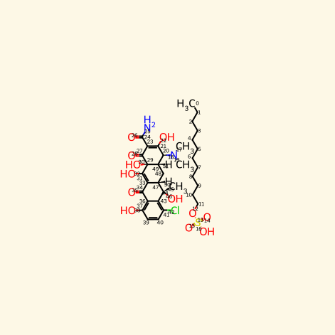 CCCCCCCCCCCCOS(=O)(=O)O.CN(C)[C@@H]1C(O)=C(C(N)=O)C(=O)[C@@]2(O)C(O)=C3C(=O)c4c(O)ccc(Cl)c4[C@@](C)(O)[C@H]3C[C@@H]12